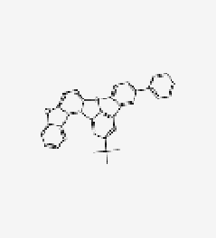 CC(C)(C)c1cc2c3c(c1)-c1c(ccc4oc5ccccc5c14)B3c1ccc(-c3ccccc3)cc1-2